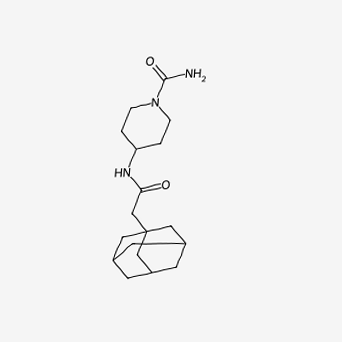 NC(=O)N1CCC(NC(=O)CC23CC4CC(CC(C4)C2)C3)CC1